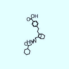 O=C(O)c1ccc(CCC2C3CCC(O3)C2C=NNCC(=O)C2CCCCC2)cc1